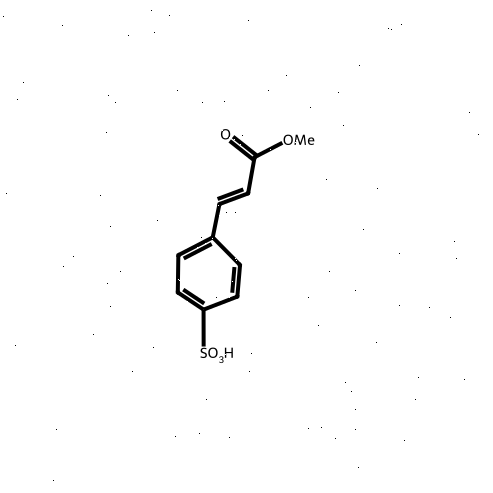 [CH2]OC(=O)C=Cc1ccc(S(=O)(=O)O)cc1